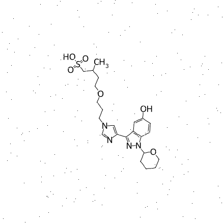 CC(CCOCCCn1cnc(-c2nn(C3CCCCO3)c3ccc(O)cc23)c1)CS(=O)(=O)O